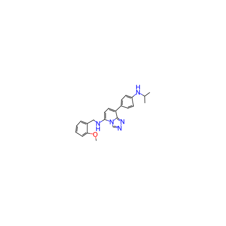 COc1ccccc1CNc1ccc(-c2ccc(NC(C)C)cc2)c2nncn12